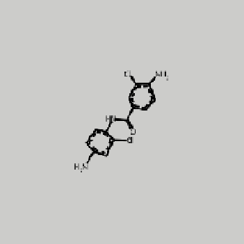 Nc1ccc(NC(=O)c2ccc(N)c(Cl)c2)c(Cl)c1